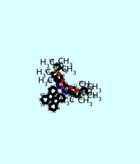 Cc1sc(-c2ccc(N(c3ccc(-c4sc(C)c(C)c4C)cc3)c3ccc4c(c3)C3(c5ccccc5-4)c4ccccc4-c4ccc(N(c5ccc(-c6sc(C)c(C)c6C)cc5)c5ccc(-c6sc(C)c(C)c6C)cc5)cc43)cc2)c(C)c1C